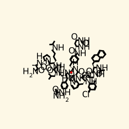 CC(=O)N[C@H](Cc1ccc2ccccc2c1)C(=O)N[C@H](Cc1ccc(Cl)cc1)C(=O)N[C@H](Cc1cccnc1)C(=O)N[C@@H](CO)C(=O)N[C@@H](Cc1ccc(NC(=O)[C@@H]2CC(=O)NC(=O)N2)cc1)C(=O)N[C@@H](CN[C@@H](CC(C)C)C(=O)N[C@@H](CCCCNC(C)C)C(=O)N1CCC[C@H]1C(=O)N[C@H](C)C(N)=O)Cc1ccc(NC(N)=O)cc1